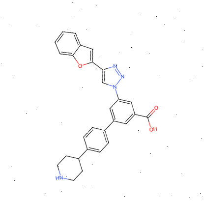 O=C(O)c1cc(-c2ccc(C3CCNCC3)cc2)cc(-n2cc(-c3cc4ccccc4o3)nn2)c1